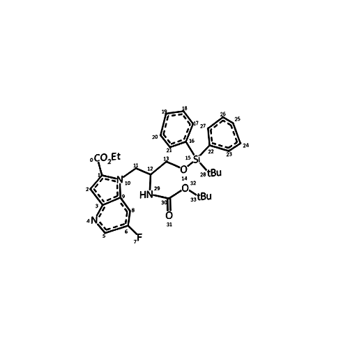 CCOC(=O)c1cc2ncc(F)cc2n1CC(CO[Si](c1ccccc1)(c1ccccc1)C(C)(C)C)NC(=O)OC(C)(C)C